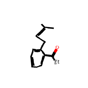 CCC(=O)c1ccccc1CC=C(C)C